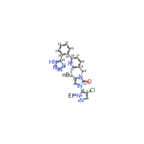 CCCCc1cn(-c2c(Cl)cnn2CC)c(=O)n1Cc1ccc(-c2ccccc2-c2nnn[nH]2)nc1